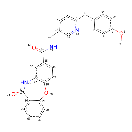 COc1ccc(Cc2ccc(CNC(=O)c3ccc4c(c3)NC(=O)c3ccccc3O4)cn2)cc1